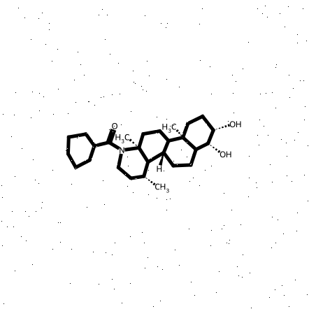 C[C@@H]1CCN(C(=O)C2CCCCC2)[C@@]2(C)CCC3[C@H](CCC4[C@@H](O)[C@@H](O)CC[C@]34C)C12